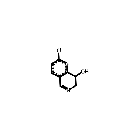 OC1CN=Cc2ccc(Cl)nc21